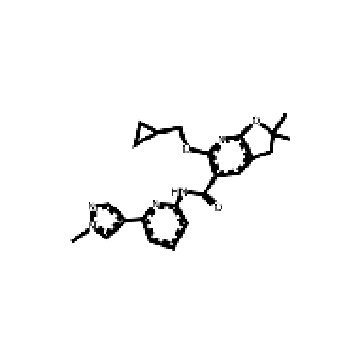 Cn1cc(-c2cccc(NC(=O)c3cc4c(nc3OCC3CC3)OC(C)(C)C4)n2)cn1